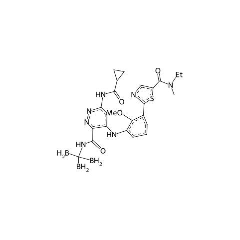 BC(B)(B)NC(=O)c1nnc(NC(=O)C2CC2)cc1Nc1cccc(-c2ncc(C(=O)N(C)CC)s2)c1OC